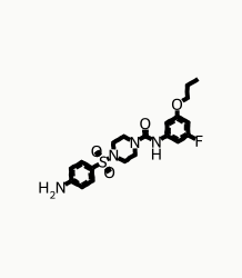 CCCOc1cc(F)cc(NC(=O)N2CCN(S(=O)(=O)c3ccc(N)cc3)CC2)c1